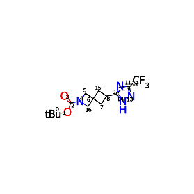 CC(C)(C)OC(=O)N1CC2(CC(c3nc(C(F)(F)F)n[nH]3)C2)C1